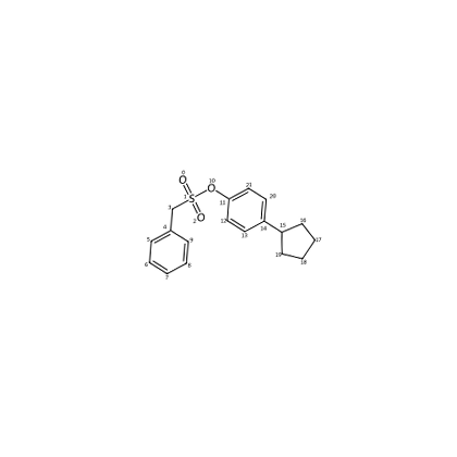 O=S(=O)(Cc1ccccc1)Oc1ccc(C2CCCC2)cc1